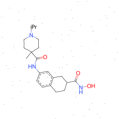 CC(C)N1CCC(C)(C(=O)Nc2ccc3c(c2)CC(C(=O)NO)CC3)CC1